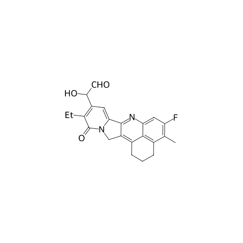 CCc1c(C(O)C=O)cc2n(c1=O)Cc1c-2nc2cc(F)c(C)c3c2c1CCC3